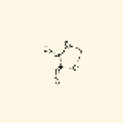 O=C1OCOC1=O